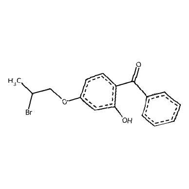 CC(Br)COc1ccc(C(=O)c2ccccc2)c(O)c1